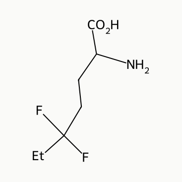 CCC(F)(F)CCC(N)C(=O)O